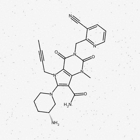 CC#CCn1c(N2CCC[C@@H](N)C2)c(C(N)=O)c2c1c(=O)n(Cc1ncccc1C#N)c(=O)n2C